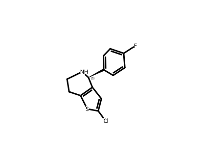 Fc1ccc([C@@H]2NCCc3sc(Cl)cc32)cc1